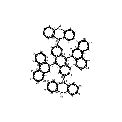 c1ccc2c(c1)Oc1ccccc1N2c1ccc2c(-c3cc4ccccc4c4ccccc34)c3cc(N4c5ccccc5Oc5ccccc54)ccc3c(-c3cc4ccccc4c4ccccc34)c2c1